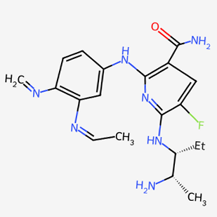 C=Nc1ccc(Nc2nc(N[C@H](CC)[C@H](C)N)c(F)cc2C(N)=O)cc1/N=C\C